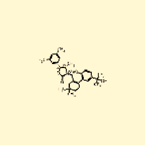 COc1ccc(C(O)(C(F)(F)F)C(F)(F)F)cc1C1=C(CN2C(=O)O[C@H](c3cc(C)cc(C(F)(F)F)c3)[C@@H]2C)CC(C)(C)CC1